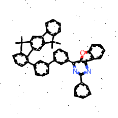 CC1(C)c2ccccc2-c2cc3c(cc21)-c1c(-c2cccc(-c4cccc(-c5nc(-c6ccccc6)nc6c5oc5ccccc56)c4)c2)cccc1C3(C)C